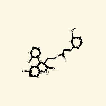 COc1cccc(/C=C/C(=O)OCCc2c(-c3ccccc3Cl)c3cc(Cl)ccc3[nH]c2=O)c1